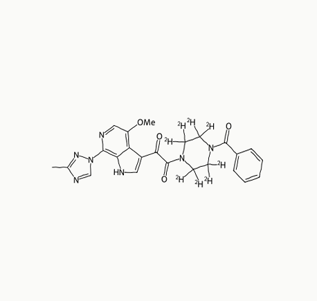 [2H]C1([2H])N(C(=O)C(=O)c2c[nH]c3c(-n4cnc(C)n4)ncc(OC)c23)C([2H])([2H])C([2H])([2H])N(C(=O)c2ccccc2)C1([2H])[2H]